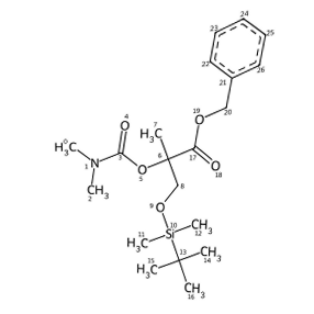 CN(C)C(=O)OC(C)(CO[Si](C)(C)C(C)(C)C)C(=O)OCc1ccccc1